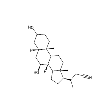 CC(CC#N)[C@H]1CCC2[C@H]3C(CC[C@@]21C)[C@@]1(C)CCC(O)C[C@H]1C[C@@H]3O